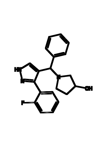 OC1CCN(C(c2ccccc2)c2c[nH]nc2-c2ccccc2F)C1